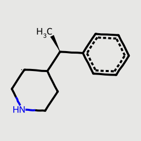 C[C@@H](c1ccccc1)C1[CH]CNCC1